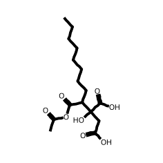 CCCCCCCCC(C(=O)OC(C)=O)C(O)(CC(=O)O)C(=O)O